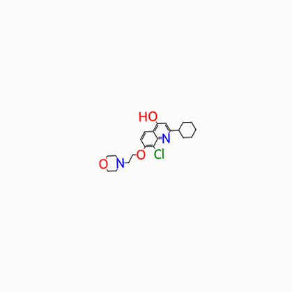 Oc1cc(C2CCCCC2)nc2c(Cl)c(OCCN3CCOCC3)ccc12